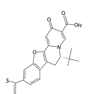 CC(C)(C)[C@@H]1Cc2c(oc3cc(-c4cccs4)ccc23)-c2cc(=O)c(C(=O)O)cn21